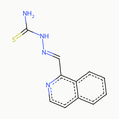 NC(=S)N/N=C/c1nccc2ccccc12